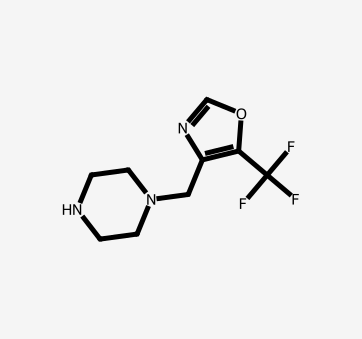 FC(F)(F)c1ocnc1CN1CCNCC1